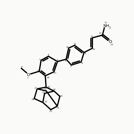 COc1ccc(-c2ccc(/C=C/C(N)=O)cc2)cc1C1C2CC3CC(C2)CC1C3